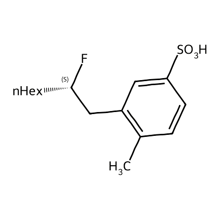 CCCCCC[C@H](F)Cc1cc(S(=O)(=O)O)ccc1C